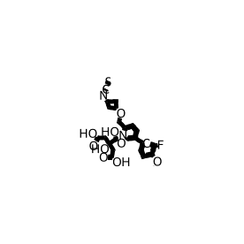 COc1ccc(-c2ccc(COC3CC(N=C=S)C3)nc2)cc1F.O=C(O)CC(O)(CC(=O)O)C(=O)O